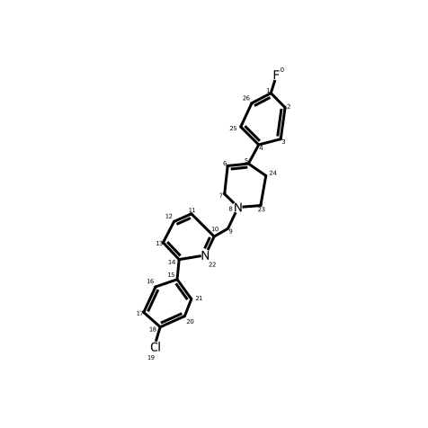 Fc1ccc(C2=CCN(Cc3cccc(-c4ccc(Cl)cc4)n3)CC2)cc1